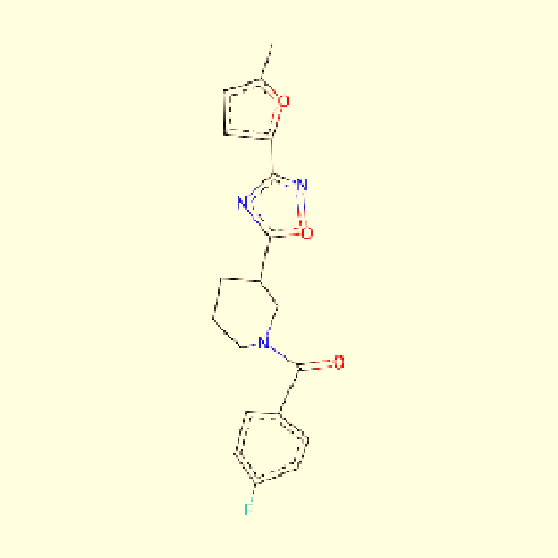 Cc1ccc(-c2noc(C3CCCN(C(=O)c4ccc(F)cc4)C3)n2)o1